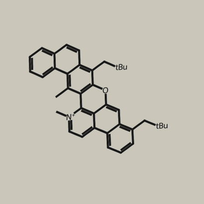 Cc1c2c(c(CC(C)(C)C)c3ccc4ccccc4c13)Oc1cc3c(CC(C)(C)C)cccc3c3cc[n+](C)c-2c13